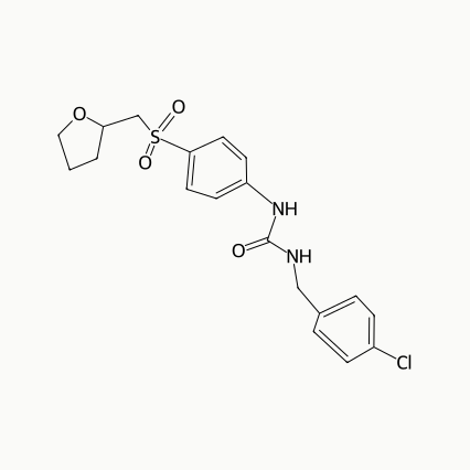 O=C(NCc1ccc(Cl)cc1)Nc1ccc(S(=O)(=O)CC2CCCO2)cc1